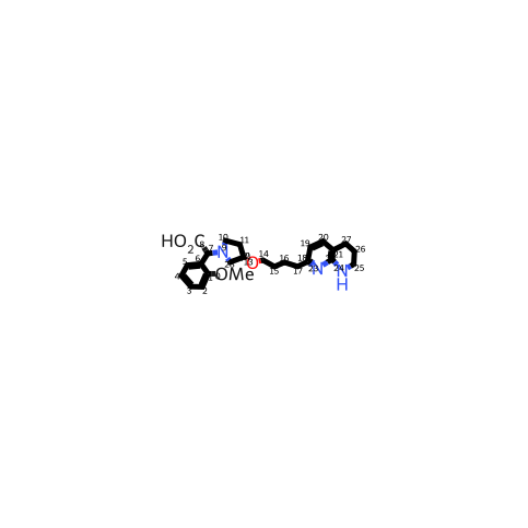 COc1ccccc1C(C(=O)O)N1CC[C@@H](OCCCCc2ccc3c(n2)NCCC3)C1